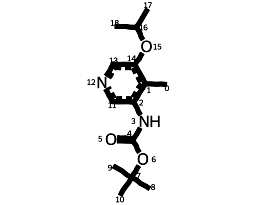 Cc1c(NC(=O)OC(C)(C)C)cncc1OC(C)C